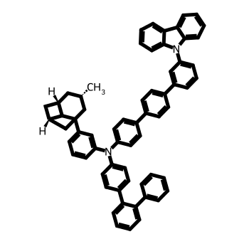 C[C@H]1C[C@H]2C[C@H]3CC(c4cccc(N(c5ccc(-c6ccc(-c7cccc(-n8c9ccccc9c9ccccc98)c7)cc6)cc5)c5ccc(-c6ccccc6-c6ccccc6)cc5)c4)(C1)C23